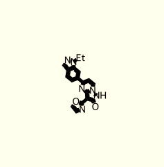 CCn1ncc2ccc(-c3ccn4[nH]c(=O)c(-c5ncco5)c4n3)cc21